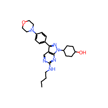 CCCCNc1ncc2c(-c3ccc(N4CCOCC4)cc3)nn(C3CCC(O)CC3)c2n1